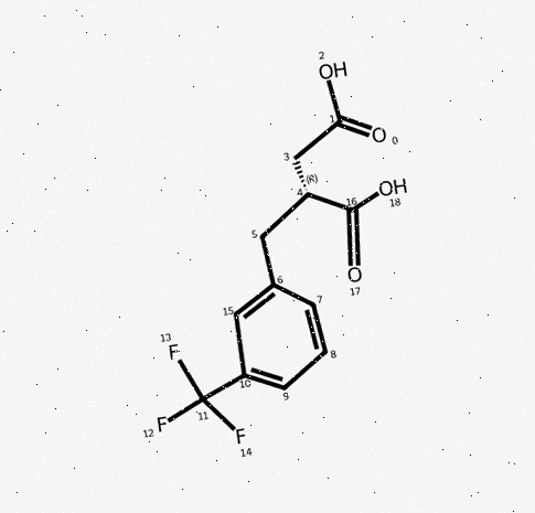 O=C(O)C[C@@H](Cc1cccc(C(F)(F)F)c1)C(=O)O